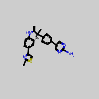 C=C(Nc1ccc(-c2csc(C)n2)cc1)C(C)(c1ccc(-c2cnc(N)nc2)cc1)C(C)C